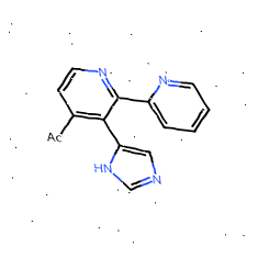 CC(=O)c1ccnc(-c2ccccn2)c1-c1cnc[nH]1